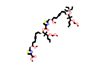 C/C=C/[C@H](OCOC)C(C)(C)[C@H](C/C=C\C#C/C=C/[C@@H](Cc1nc(C(=O)OC)cs1)OC)OC(=O)c1csc(C[C@H](/C=C/C#C/C=C\C[C@H](O[Si](CC)(CC)CC)C(C)(C)[C@H](/C=C/C)OCOC)OC)n1